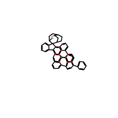 c1ccc(-c2ccc(-c3ccccc3N(c3ccc4c(c3)-c3ccccc3C43C4CCC5CCC3CC5C4)c3ccccc3-c3ccccc3-c3ccccc3-c3ccccc3)cc2)cc1